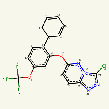 FC(F)(F)Oc1ccc(C2C=CC=CC2)c(Oc2ccc3nnc(Cl)n3n2)c1